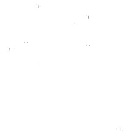 CCCCCCCCC(C(=O)OC)=C(CCC)C(=O)OC